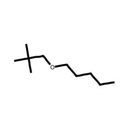 CCCCCOCC(C)(C)C